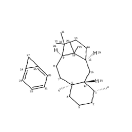 C[C@@H]1CCC[C@@]2(C)CC[C@H]3C(C)(C)CC[C@@H](C[C@H]12)C3(C)C.c1ccc2c(c1)C2